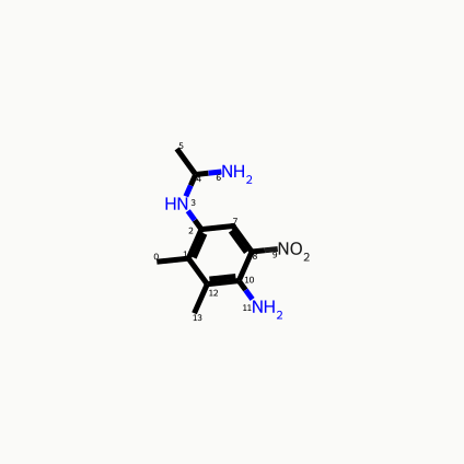 Cc1c(NC(C)N)cc([N+](=O)[O-])c(N)c1C